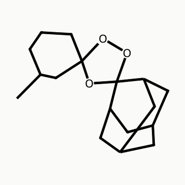 CC1CCCC2(C1)OOC1(O2)C2CC3CC(C2)CC1C3